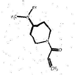 C=CC(=O)N1CCC(N(C)CC)CC1